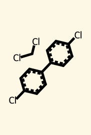 ClCCl.Clc1ccc(-c2ccc(Cl)cc2)cc1